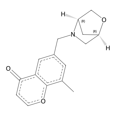 Cc1cc(CN2C[C@H]3C[C@@H]2CO3)cc2c(=O)ccoc12